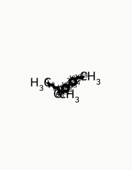 CCCCC[S+]([O-])C1(C)CCC(C2CCC(CCC)CC2)CC1